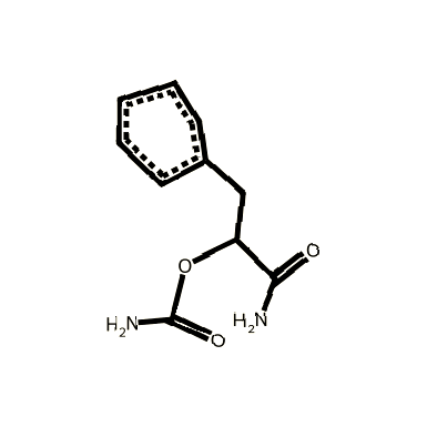 NC(=O)OC(Cc1ccccc1)C(N)=O